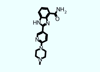 CN1CCN(c2ccc(-c3nc4c(C(N)=O)cccc4[nH]3)cn2)CC1